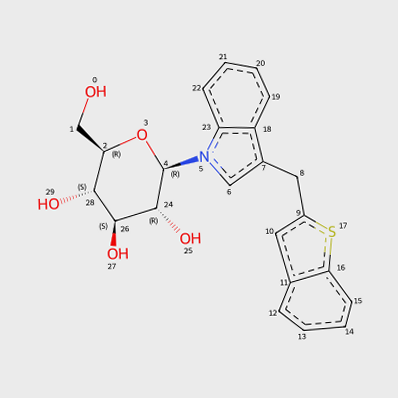 OC[C@H]1O[C@@H](n2cc(Cc3cc4ccccc4s3)c3ccccc32)[C@H](O)[C@@H](O)[C@@H]1O